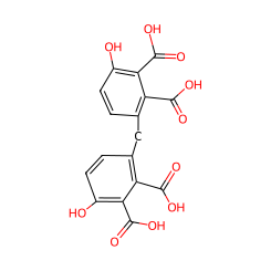 O=C(O)c1c(O)ccc(Cc2ccc(O)c(C(=O)O)c2C(=O)O)c1C(=O)O